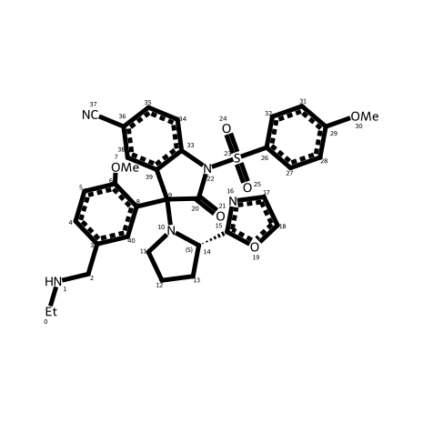 CCNCc1ccc(OC)c(C2(N3CCC[C@H]3c3ncco3)C(=O)N(S(=O)(=O)c3ccc(OC)cc3)c3ccc(C#N)cc32)c1